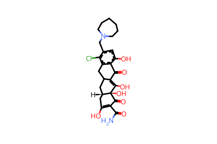 NC(=O)C1=C(O)C[C@@H]2CC3Cc4c(Cl)c(CN5CCCCCC5)cc(O)c4C(=O)C3=C(O)[C@]2(O)C1=O